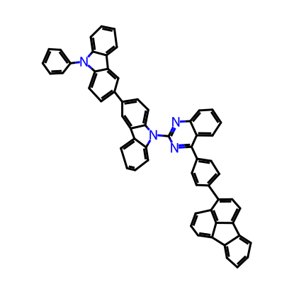 c1ccc(-n2c3ccccc3c3cc(-c4ccc5c(c4)c4ccccc4n5-c4nc(-c5ccc(-c6ccc7c8c(cccc68)-c6ccccc6-7)cc5)c5ccccc5n4)ccc32)cc1